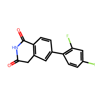 O=C1Cc2cc(-c3ccc(F)cc3F)ccc2C(=O)N1